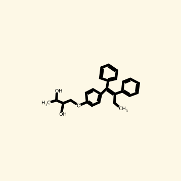 CC/C(=C(/c1ccccc1)c1ccc(OCC(O)C(C)O)cc1)c1ccccc1